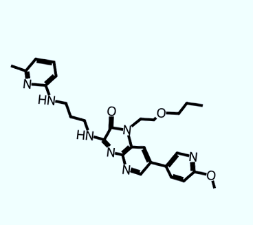 CCCOCCn1c(=O)c(NCCCNc2cccc(C)n2)nc2ncc(-c3ccc(OC)nc3)cc21